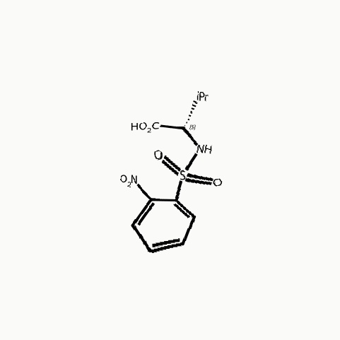 CC(C)[C@H](NS(=O)(=O)c1ccccc1[N+](=O)[O-])C(=O)O